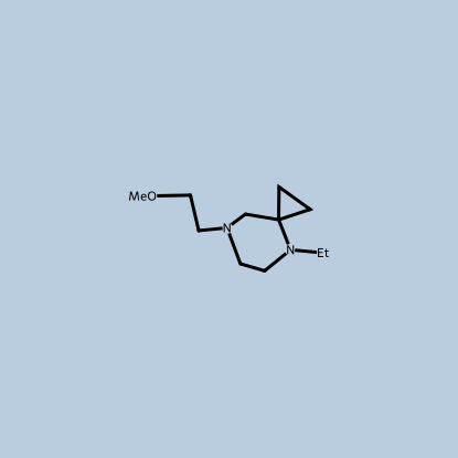 CCN1CCN(CCOC)CC12CC2